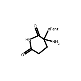 CCCCCC1(N)CCC(=O)NC1=O